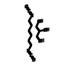 O=C=NCCCCCCN=C=O.OCC(O)CO